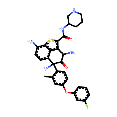 Cc1cc(Oc2cccc(F)c2)ccc1C1(N)C(=O)C(N)c2c(C(=O)NC3CCCNC3)sc3c(N)ccc1c23